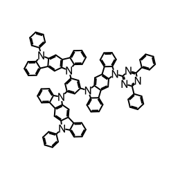 c1ccc(-c2nc(-c3ccccc3)nc(-n3c4ccccc4c4cc5c(cc43)c3ccccc3n5-c3cc(-n4c5ccccc5c5cc6c(cc54)c4ccccc4n6-c4ccccc4)cc(-n4c5ccccc5c5cc6c(cc54)c4ccccc4n6-c4ccccc4)c3)n2)cc1